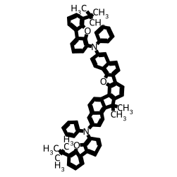 CC(C)(C)c1cccc2c1oc1c(N(c3ccccc3)c3ccc4c5c(ccc4c3)-c3c(ccc4c3oc3c6ccc(N(c7ccccc7)c7cccc8c7oc7c(C(C)(C)C)cccc78)cc6ccc43)C5(C)C)cccc12